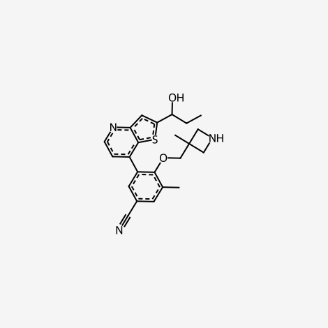 CCC(O)c1cc2nccc(-c3cc(C#N)cc(C)c3OCC3(C)CNC3)c2s1